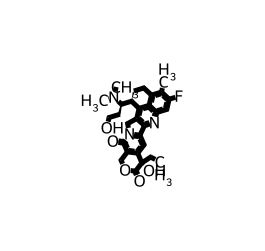 CC[C@@]1(O)C(=O)OCc2c1cc1n(c2=O)Cc2c-1nc1cc(F)c(C)c3c1c2[C@H]([C@@H](CCO)N(C)C)CC3